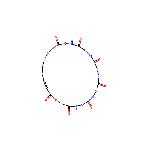 O=C1CNC(=O)CNC(=O)COC(=O)/C=C\C[CH]CCOC(=O)CNC(=O)CNC(=O)CN1